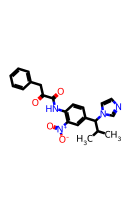 CC(C)C(c1ccc(NC(=O)C(=O)Cc2ccccc2)c([N+](=O)[O-])c1)n1ccnc1